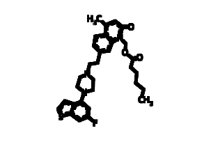 CCCCCC(=O)OCn1c(=O)cc(C)c2ccc(CCN3CCN(c4cc(F)cc5sccc45)CC3)cc21